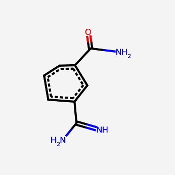 N=C(N)c1cccc(C(N)=O)c1